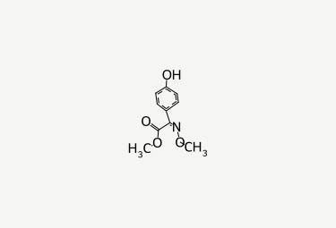 CON=C(C(=O)OC)c1ccc(O)cc1